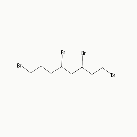 BrCCCC(Br)CC(Br)CCBr